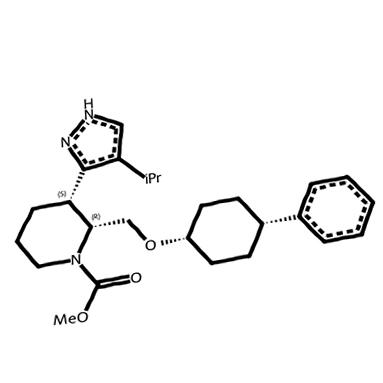 COC(=O)N1CCC[C@H](c2n[nH]cc2C(C)C)[C@@H]1CO[C@H]1CC[C@@H](c2ccccc2)CC1